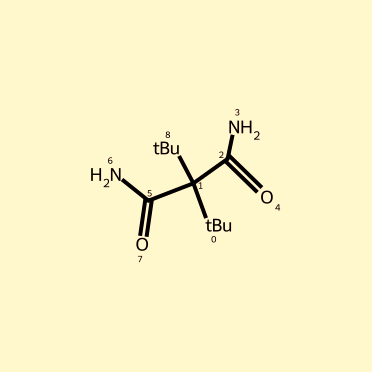 CC(C)(C)C(C(N)=O)(C(N)=O)C(C)(C)C